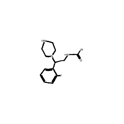 CC(C)C(=O)NCC(c1ccccc1F)N1CCNCC1